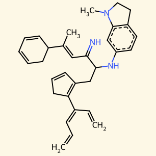 C=C/C=C(\C=C)C1=C(CC(Nc2ccc3c(c2)N(C)CC3)C(=N)/C=C(\C)C2C=CC=CC2)C=CC1